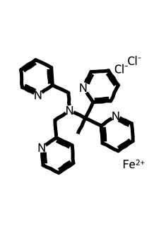 CC(c1ccccn1)(c1ccccn1)N(Cc1ccccn1)Cc1ccccn1.[Cl-].[Cl-].[Fe+2]